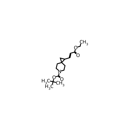 CCOC(=O)C=CC1CC12CCN(C(=O)OC(C)(C)C)CC2